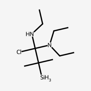 CCNC(Cl)(N(CC)CC)C(C)(C)[SiH3]